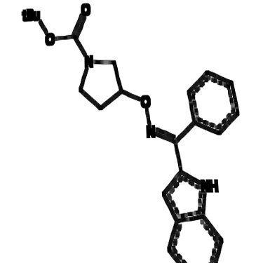 CC(C)(C)OC(=O)N1CCC(ON=C(c2ccccc2)c2cc3ccncc3[nH]2)C1